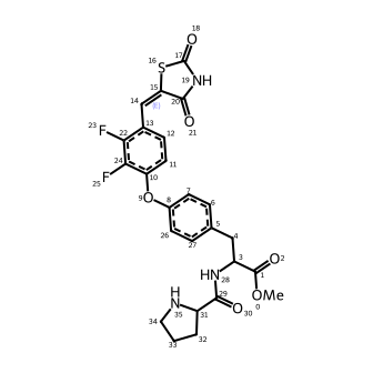 COC(=O)C(Cc1ccc(Oc2ccc(/C=C3/SC(=O)NC3=O)c(F)c2F)cc1)NC(=O)C1CCCN1